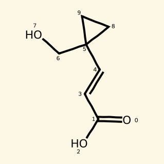 O=C(O)C=CC1(CO)CC1